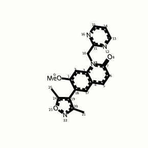 COc1cc2c(ccc(=O)n2Cc2ncccn2)cc1-c1c(C)noc1C